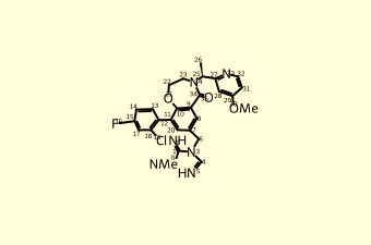 CNC(=N)N(C=N)Cc1cc2c(c(-c3ccc(F)cc3Cl)c1)OCCN([C@@H](C)c1cc(OC)ccn1)C2=O